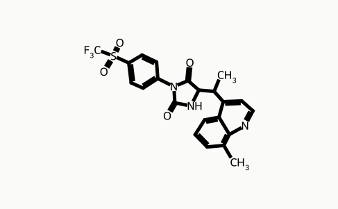 Cc1cccc2c(C(C)C3NC(=O)N(c4ccc(S(=O)(=O)C(F)(F)F)cc4)C3=O)ccnc12